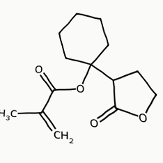 C=C(C)C(=O)OC1(C2CCOC2=O)CCCCC1